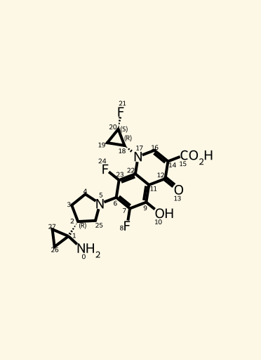 NC1([C@@H]2CCN(c3c(F)c(O)c4c(=O)c(C(=O)O)cn([C@@H]5C[C@@H]5F)c4c3F)C2)CC1